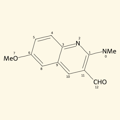 CNc1nc2ccc(OC)cc2cc1C=O